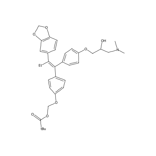 CCC(=C(c1ccc(OCOC(=O)C(C)(C)C)cc1)c1ccc(OCC(O)CN(C)C)cc1)c1ccc2c(c1)OCO2